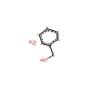 O.OCc1ccccc1